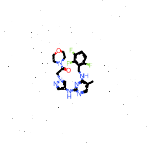 Cc1cnc(Nc2cnn(CC(=O)N3CCOCC3)c2)nc1NCc1c(F)ccc(F)c1F